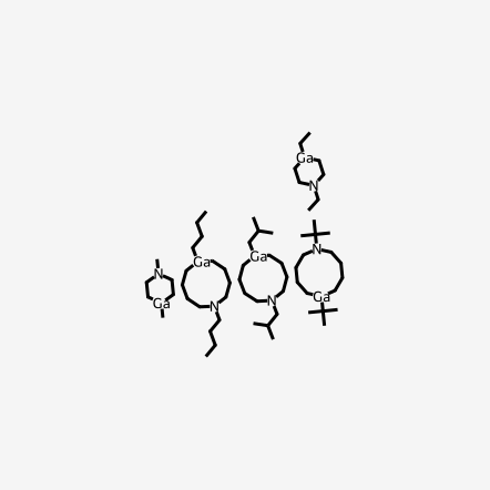 CC(C)(C)N1CCC[CH2][Ga]([C](C)(C)C)[CH2]CCC1.CC(C)CN1CCC[CH2][Ga]([CH2]C(C)C)[CH2]CCC1.CCCCN1CCC[CH2][Ga]([CH2]CCC)[CH2]CCC1.CCN1C[CH2][Ga]([CH2]C)[CH2]C1.CN1C[CH2][Ga]([CH3])[CH2]C1